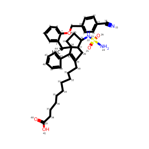 C=C(c1ccccc1OCc1ccc(C#N)cc1)C12CCC(NS(N)(=O)=O)C1CC(CCCCCCCCCC(=O)O)=C2c1ccccc1